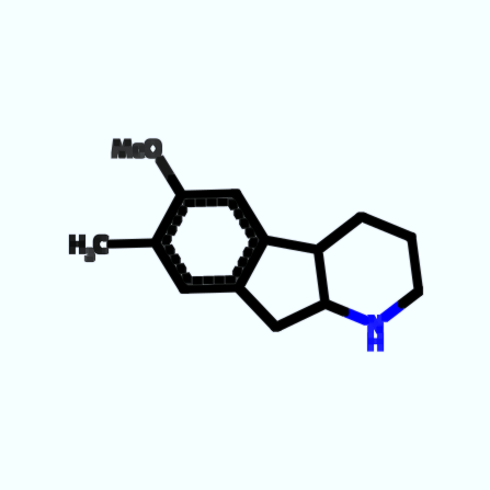 COc1cc2c(cc1C)CC1NCCCC21